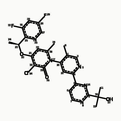 Cc1cnc(-c2ccnc(C(C)(C)O)n2)cc1-n1c(C)cc(O[C@@H](C)c2ncc(F)cc2F)c(Cl)c1=O